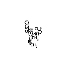 C=BN=NC[C@@H](COC(=O)Nc1cc2ccccc2cn1)N(C)C(=O)NCc1cccc(F)c1Cl